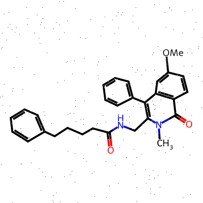 COc1ccc2c(=O)n(C)c(CNC(=O)CCCCc3ccccc3)c(-c3ccccc3)c2c1